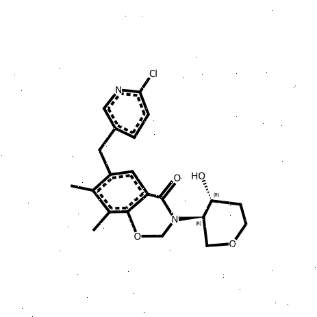 Cc1c(Cc2ccc(Cl)nc2)cc2c(c1C)OCN([C@@H]1COCC[C@H]1O)C2=O